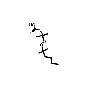 CCCCC(C)(C)OOC(C)(C)OC(=O)O